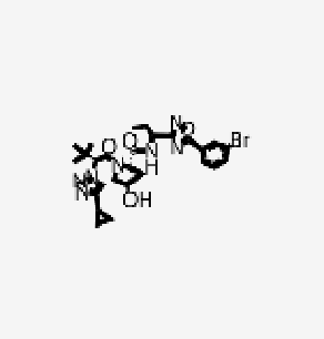 CCC(NC(=O)[C@@H]1C[C@@H](O)CN1C(=O)[C@@H](n1cc(C2CC2)nn1)C(C)(C)C)c1noc(-c2cccc(Br)c2)n1